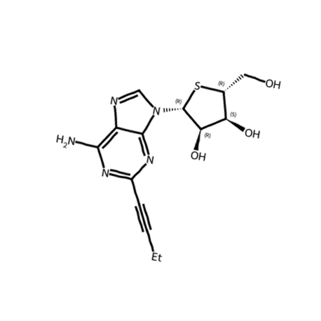 CCC#Cc1nc(N)c2ncn([C@@H]3S[C@H](CO)[C@@H](O)[C@H]3O)c2n1